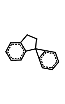 [C]1Cc2ccccc2C12c1ccccc12